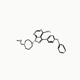 CNCC1CCC[C@@H](n2nc(-c3ccc(Oc4ccccc4)cc3)c3c(N)ncnc32)CC1